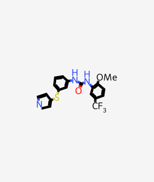 COc1ccc(C(F)(F)F)cc1NC(=O)Nc1cccc(Sc2ccncc2)c1